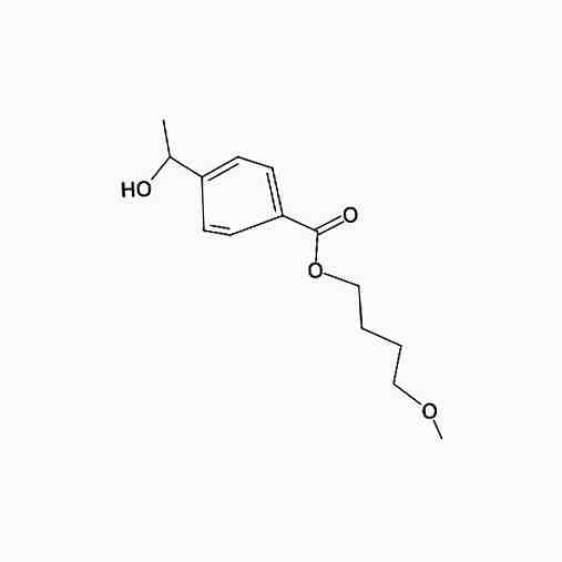 COCCCCOC(=O)c1ccc(C(C)O)cc1